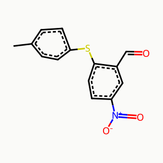 Cc1ccc(Sc2ccc([N+](=O)[O-])cc2C=O)cc1